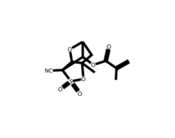 C=C(C)C(=O)OC1C2CC3(C)OS(=O)(=O)C1(C#N)C3O2